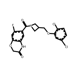 O=C1COc2cc(F)c(C(=O)N3CC(COc4cc(Cl)ccc4Cl)C3)cc2N1